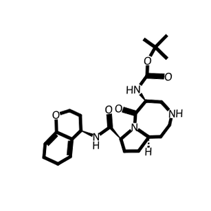 CC(C)(C)OC(=O)N[C@H]1CNCC[C@H]2CC[C@@H](C(=O)N[C@@H]3CCOC4=CCCC=C43)N2C1=O